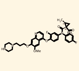 COc1cc2c(Oc3ccc(N(C(=O)[C@]4(C(N)=O)C[C@@H]4C)c4ccc(F)cc4)cc3F)ccnc2cc1OCCCN1CCNCC1